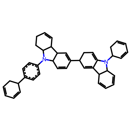 C1=CCC(c2ccc(N3C4C=CC(C5C=C6C(=CC5)N(C5C=CC=CC5)C5C=CC=CC65)=CC4C4C=CCCC43)cc2)C=C1